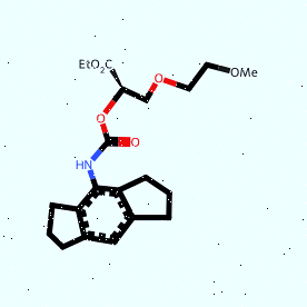 CCOC(=O)[C@@H](COCCOC)OC(=O)Nc1c2c(cc3c1CCC3)CCC2